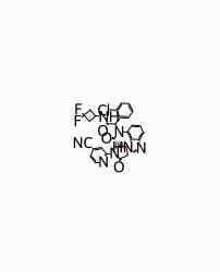 N#Cc1ccnc(N2C(=O)CC[C@H]2C(=O)N(c2cccc3nc[nH]c23)C(C(=O)NC2CC(F)(F)C2)c2ccccc2Cl)c1